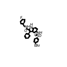 CC(C)(C)c1ccc(S(=O)(=O)Nc2ccc3[nH]c(C(=O)NCc4ccc(F)cc4)c(-c4ccccc4)c3c2)cc1